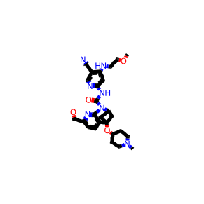 COCCNc1cc(NC(=O)N2c3nc(C=O)ccc3C3(OC4CCN(C)CC4)CC2C3)ncc1C#N